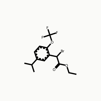 CCOC(=O)C(Br)c1cc(C(C)C)ccc1OC(F)(F)F